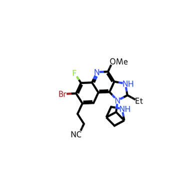 CCC1Nc2c(OC)nc3c(F)c(Br)c(CCC#N)cc3c2N1C1C2CNC1C2